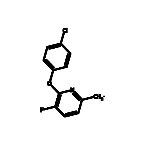 [CH2]c1ccc(F)c(Oc2ccc(Cl)cc2)n1